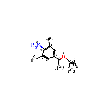 CC(C)c1cc(C(O[SiH](C)C)C(C)(C)C)cc(C(C)C)c1N